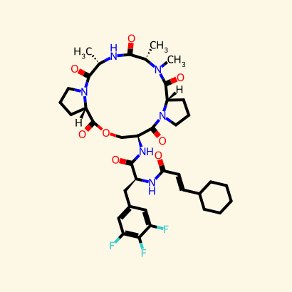 C[C@@H]1NC(=O)[C@H](C)N(C)C(=O)[C@@H]2CCCN2C(=O)[C@@H](NC(=O)[C@H](Cc2cc(F)c(F)c(F)c2)NC(=O)/C=C/C2CCCCC2)COC(=O)[C@@H]2CCCN2C1=O